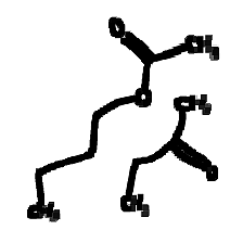 CCC(C)=O.CCCCOC(C)=O